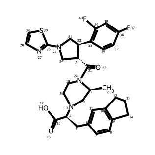 C[C@H]1CN([C@@H](Cc2ccc3c(c2)CCC3)C(=O)O)CCN1C(=O)[C@@H]1CN(c2nccs2)C[C@H]1c1ccc(F)cc1F